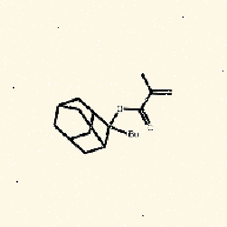 C=C(C)C(=O)OC1(C(C)CC)C2CC3CC(C2)CC1C3